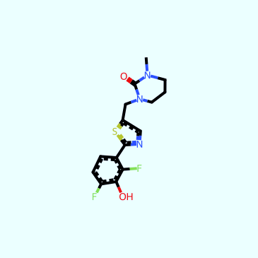 CN1CCCN(Cc2cnc(-c3ccc(F)c(O)c3F)s2)C1=O